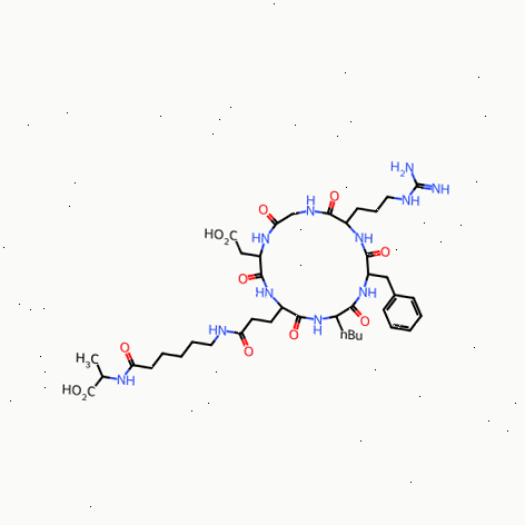 CCCCC1NC(=O)C(CCC(=O)NCCCCCC(=O)NC(C)C(=O)O)NC(=O)C(CC(=O)O)NC(=O)CNC(=O)C(CCCNC(=N)N)NC(=O)C(Cc2ccccc2)NC1=O